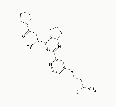 CN(C)CCOc1ccnc(-c2nc3c(c(N(C)CC(=O)N4CCCC4)n2)CCC3)c1